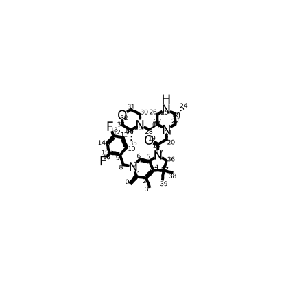 C=C1C(C)=C2C(=CN1Cc1ccc(F)cc1F)N(C(=O)CN1C[C@@H](C)NC[C@@H]1CN1CCOC[C@H]1C)CC2(C)C